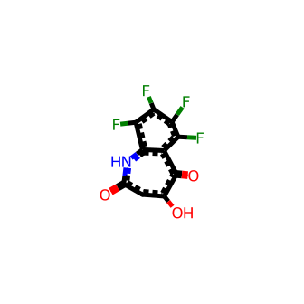 O=c1cc(O)c(=O)c2c(F)c(F)c(F)c(F)c2[nH]1